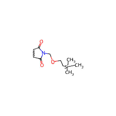 C[Si](C)(C)CCOCN1C(=O)C=CC1=O